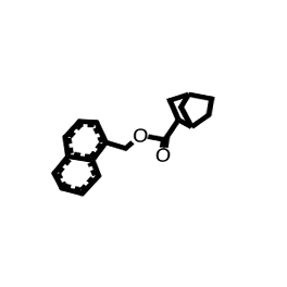 O=C(OCc1cccc2ccccc12)C1CC2CCC1C2